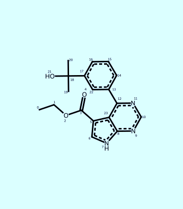 CCOC(=O)c1c[nH]c2ncnc(-c3cccc(C(C)(C)O)c3)c12